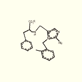 CCCCc1ncc(CNC(Cc2ccccc2)C(=O)O)n1Cc1ccccc1C